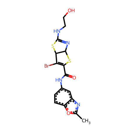 Cc1nc2cc(NC(=O)C3=C(Br)C4SC(NCCO)=NC4S3)ccc2o1